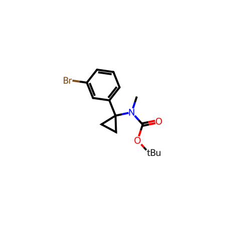 CN(C(=O)OC(C)(C)C)C1(c2cccc(Br)c2)CC1